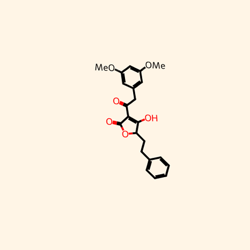 COc1cc(CC(=O)C2=C(O)C(CCc3ccccc3)OC2=O)cc(OC)c1